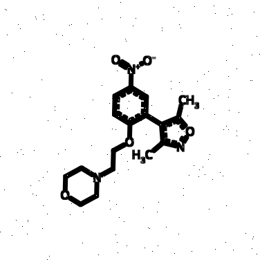 Cc1noc(C)c1-c1cc([N+](=O)[O-])ccc1OCCN1CCOCC1